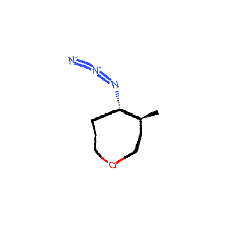 C[C@H]1COCC[C@@H]1N=[N+]=[N-]